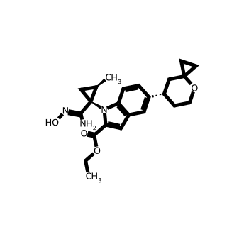 CCOC(=O)c1cc2cc([C@H]3CCOC4(CC4)C3)ccc2n1[C@@]1(C(N)=NO)C[C@H]1C